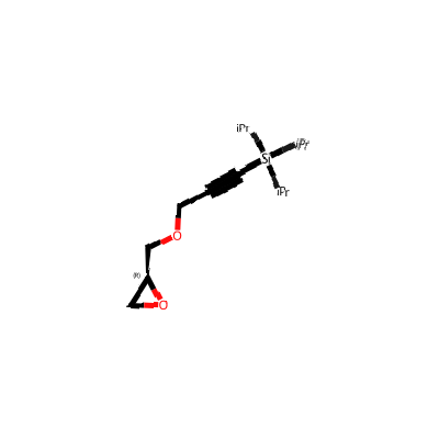 CC(C)[Si](C#CCOC[C@@H]1CO1)(C(C)C)C(C)C